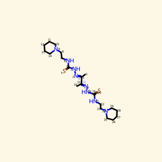 CC(=N\NC(=S)NCCN1CCCCC1)/C(C)=N/NC(=S)NCCN1CCCCC1